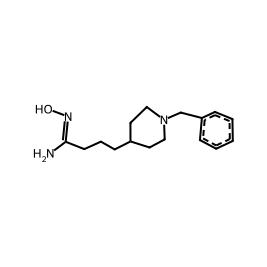 NC(CCCC1CCN(Cc2ccccc2)CC1)=NO